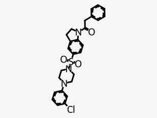 O=C(Cc1ccccc1)N1CCc2cc(S(=O)(=O)N3CCN(c4cccc(Cl)c4)CC3)ccc21